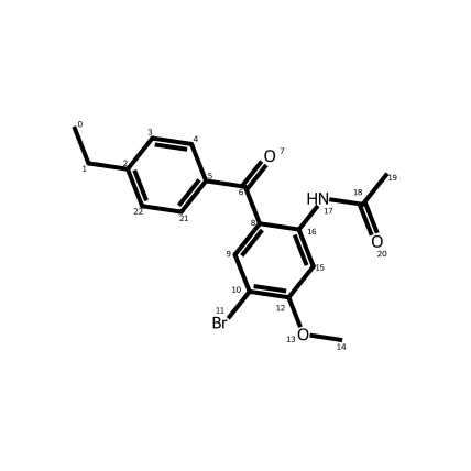 CCc1ccc(C(=O)c2cc(Br)c(OC)cc2NC(C)=O)cc1